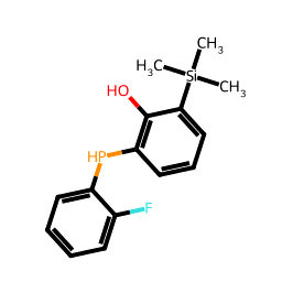 C[Si](C)(C)c1cccc(Pc2ccccc2F)c1O